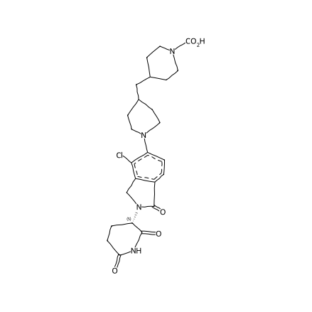 O=C1CC[C@H](N2Cc3c(ccc(N4CCC(CC5CCN(C(=O)O)CC5)CC4)c3Cl)C2=O)C(=O)N1